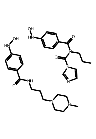 CCCN(C(=O)c1ccc(NO)cc1)C(=O)n1ccnc1.CN1CCN(CCCNC(=O)c2ccc(NO)cc2)CC1